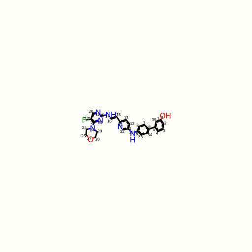 Oc1cccc(-c2ccc(Nc3ccc(/C=C/Nc4ncc(F)c(N5CCOCC5)n4)nc3)cc2)c1